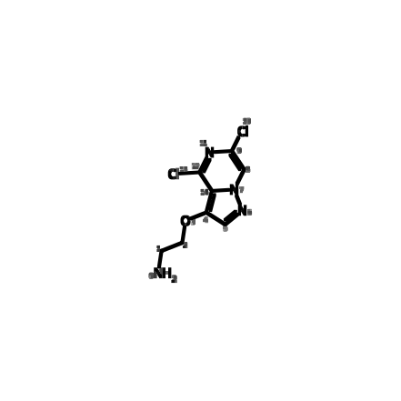 NCCOc1cnn2cc(Cl)nc(Cl)c12